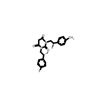 Cc1ccc([C@@H](F)CN2C(=O)CC(=O)N(C[C@H](F)c3ccc(F)cc3)C2=O)cc1